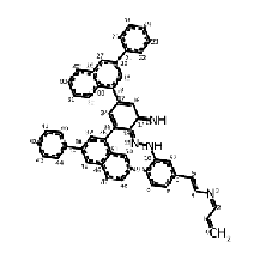 C=C/C=N\C=C\c1cccc(N/N=C2\C(=N)C=C(c3cc(-c4ccccc4)cc4ccccc34)C=C2c2cc(-c3ccccc3)cc3ccccc23)c1